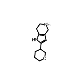 c1c(C2CCCOC2)[nH]c2c1CNCC2